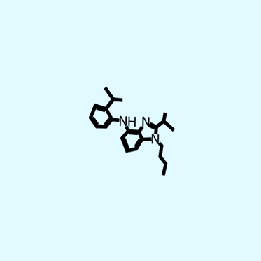 CCCCn1c(C(C)C)nc2c(Nc3ccccc3C(C)C)cccc21